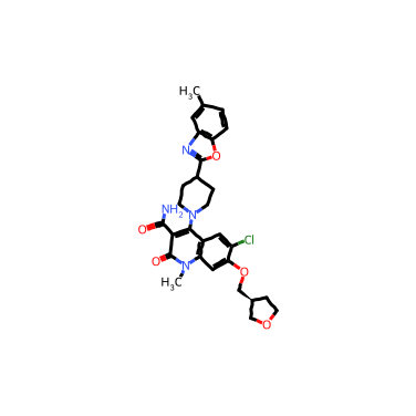 Cc1ccc2oc(C3CCN(c4c(C(N)=O)c(=O)n(C)c5cc(OC[C@H]6CCOC6)c(Cl)cc45)CC3)nc2c1